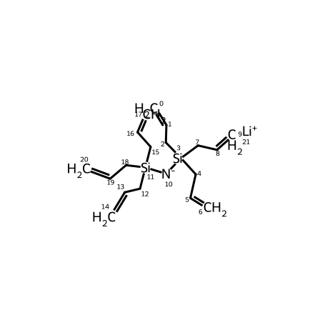 C=CC[Si](CC=C)(CC=C)[N-][Si](CC=C)(CC=C)CC=C.[Li+]